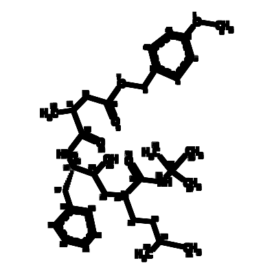 COc1ccc(COC(=O)CC(C)C(=O)N[C@@H](Cc2ccccc2)C(O)CN(CCC(C)C)C(=O)NC(C)(C)C)cc1